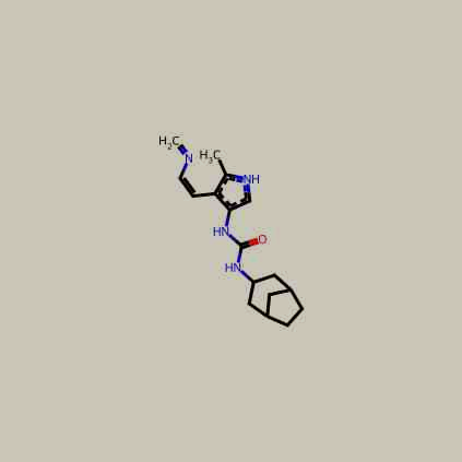 C=N/C=C\c1c(NC(=O)NC2CC3CCC(C3)C2)c[nH]c1C